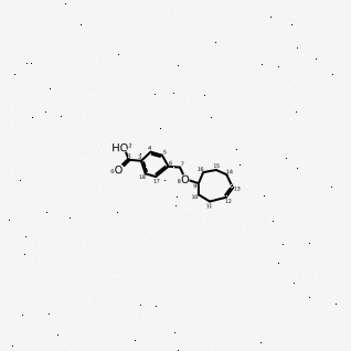 O=C(O)c1ccc(COC2CCC=CCCC2)cc1